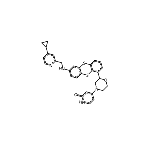 O=c1cc(N2CCOC(c3cccc4c3Sc3ccc(NCc5cc(C6CC6)ccn5)cc3S4)C2)cc[nH]1